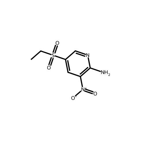 CCS(=O)(=O)c1cnc(N)c([N+](=O)[O-])c1